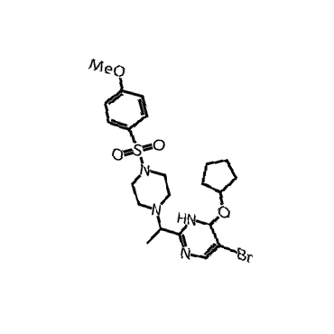 COc1ccc(S(=O)(=O)N2CCN(C(C)C3=NC=C(Br)C(OC4CCCC4)N3)CC2)cc1